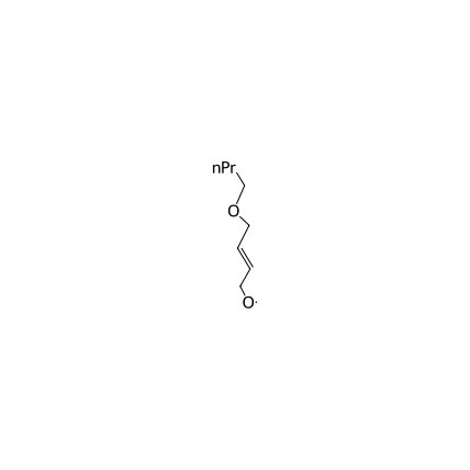 CCCCOCC=CC[O]